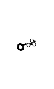 c1ccc(CO[C]2OCO2)cc1